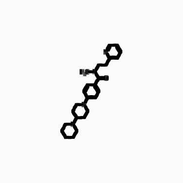 CN(CCc1ccccn1)C(=O)c1ccc(N2CCC(N3CCCCC3)CC2)cc1